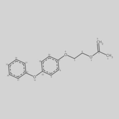 C=C(C)OCCOc1ccc(Oc2ccccc2)cc1